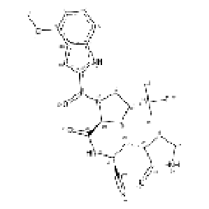 COc1cccc2[nH]c(C(=O)N3C[C@H](C(C)(C)F)C[C@H]3C(=O)N[C@H](C#N)C[C@@H]3CCNC3=O)cc12